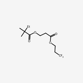 CCC(C)(C)C(=O)OCCC(=O)OCCC(F)(F)F